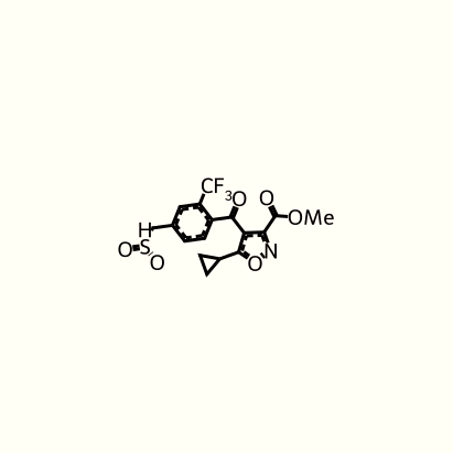 COC(=O)c1noc(C2CC2)c1C(=O)c1ccc(C[SH](=O)=O)cc1C(F)(F)F